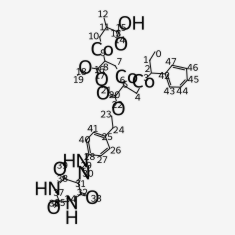 CC[CH]([Co][CH2][CH]([Co][CH2][CH]([Co][CH2]C(C)C(=O)O)C(=O)OC)C(=O)OCCc1ccc(NN=C2C(=O)NC(=O)NC2=O)cc1)c1ccccc1